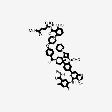 CNC(=O)CCC(C=O)N(C)C(=O)c1c(C=O)cccc1N1CCC(Oc2ccc(C(=O)N3CCC(C)(c4ccc(-c5cc6ncn(C(C)C)c6c(Nc6cc(C(=O)NC(C)C)c(C)cc6F)n5)cc4N(C=O)C4CC(N5CCCCC5)C4)CC3)cc2)CC1